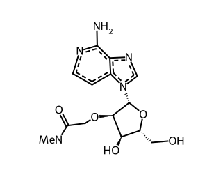 CNC(=O)CO[C@@H]1[C@H](O)[C@@H](CO)O[C@H]1n1cnc2c(N)nccc21